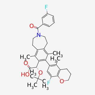 Cc1c(-c2c(C)c3c(c(C)c2[C@H](OC(C)(C)C)C(=O)O)CCN(C(=O)c2cccc(F)c2)CC3)cc(F)c2c1CCCO2